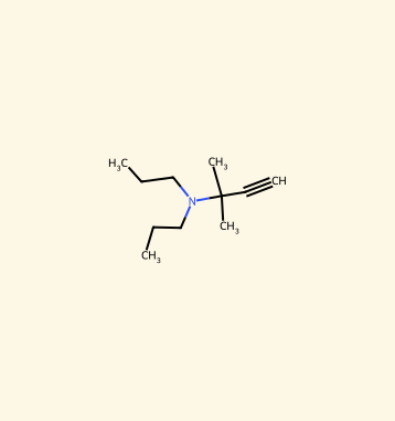 C#CC(C)(C)N(CCC)CCC